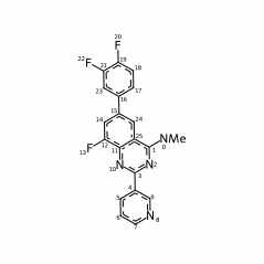 CNc1nc(-c2cccnc2)nc2c(F)cc(-c3ccc(F)c(F)c3)cc12